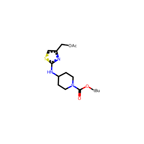 CC(=O)OCc1csc(NC2CCN(C(=O)OC(C)(C)C)CC2)n1